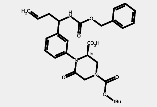 C=CCC(NC(=O)OCc1ccccc1)c1cccc(N2C(=O)CN(C(=O)OC(C)(C)C)C[C@@H]2C(=O)O)c1